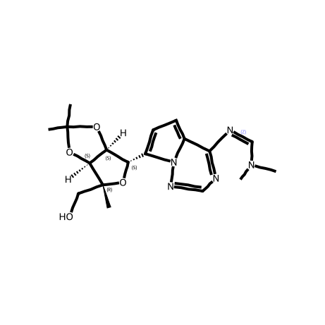 CN(C)/C=N\c1ncnn2c([C@@H]3O[C@](C)(CO)[C@H]4OC(C)(C)O[C@@H]34)ccc12